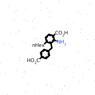 CCCCCCc1ccc(C(=O)O)c(N)c1Cc1ccc(C(=O)O)cc1